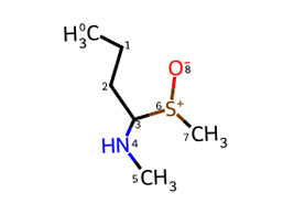 CCCC(NC)[S+](C)[O-]